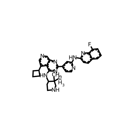 CC1(C)CNCCC1Nc1nc(-c2ccnc(Nc3ccc4cccc(F)c4n3)c2)nc2cncc(C3CCC3)c12